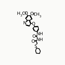 COc1cc2nccc(Oc3ccc(NC(=O)NC(=O)CSC4CCCCC4)cc3)c2cc1OC